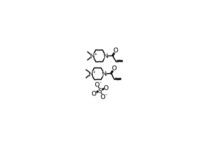 C=CC(=O)N1CC[N+](C)(C)CC1.C=CC(=O)N1CC[N+](C)(C)CC1.O=S(=O)([O-])[O-]